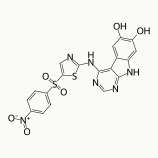 O=[N+]([O-])c1ccc(S(=O)(=O)c2cnc(Nc3ncnc4[nH]c5cc(O)c(O)cc5c34)s2)cc1